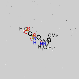 COc1ccc2c(c1)C(=CC(=O)c1cccc(NS(=O)(=O)c3ccc(S(C)(=O)=O)cc3)c1)NC(C)(C)C2